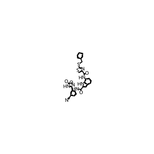 N#Cc1ccc(NC(=O)c2cc3cccc(NC(=O)c4csc(SCc5ccccc5)n4)c3[nH]2)c(-c2noc(=O)[nH]2)c1